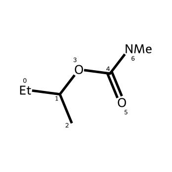 CCC(C)OC(=O)NC